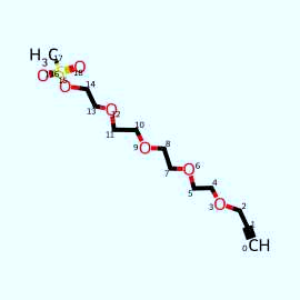 C#CCOCCOCCOCCOCCOS(C)(=O)=O